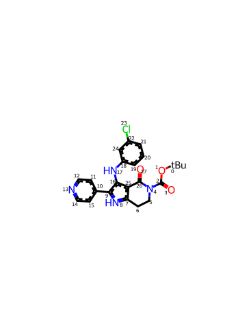 CC(C)(C)OC(=O)N1CCc2[nH]c(-c3ccncc3)c(Nc3cccc(Cl)c3)c2C1=O